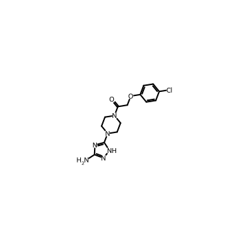 Nc1n[nH]c(N2CCN(C(=O)COc3ccc(Cl)cc3)CC2)n1